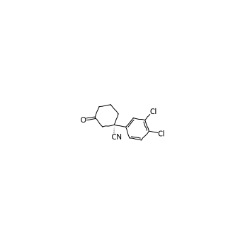 N#C[C@@]1(c2ccc(Cl)c(Cl)c2)CCCC(=O)C1